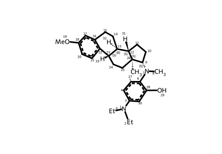 CCN(CC)c1ccc(N(C)[C@H]2CC[C@H]3[C@@H]4CCc5cc(OC)ccc5[C@H]4CC[C@]23C)c(O)c1